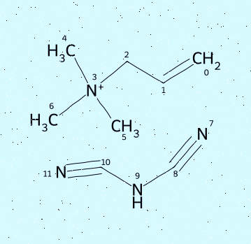 C=CC[N+](C)(C)C.N#CNC#N